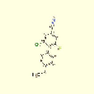 CCc1ccc(-c2c(F)cc(C#N)cc2Cl)cc1